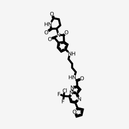 O=C1CCC(N2C(=O)c3ccc(NCCCCNC(=O)c4cc5nc(-c6ccco6)cc(C(F)(F)Cl)n5n4)cc3C2=O)C(=O)N1